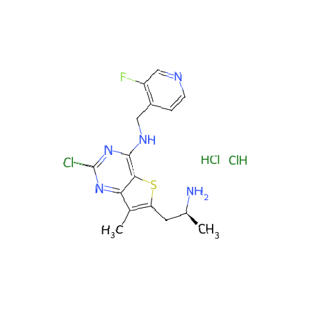 Cc1c(C[C@H](C)N)sc2c(NCc3ccncc3F)nc(Cl)nc12.Cl.Cl